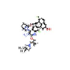 C#Cc1c(F)ccc2cc(O)cc(-c3cc4c5c(c(N)c(OCC6(CN7CCC(C)(C)C7)CC6)nc5c3F)N3CC5CCC(N5)C3O4)c12